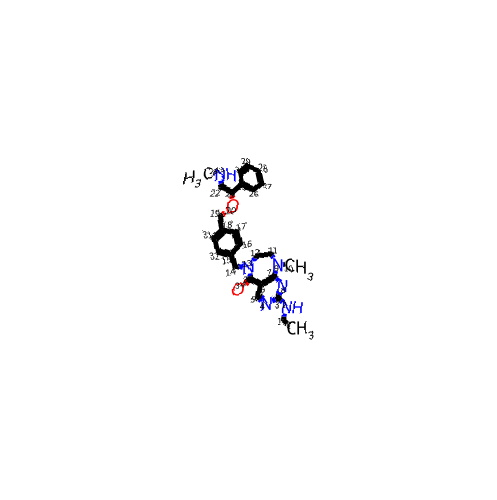 CCNc1ncc2c(n1)N(C)CCN(Cc1ccc(COC(CNC)c3ccccc3)cc1)C2=O